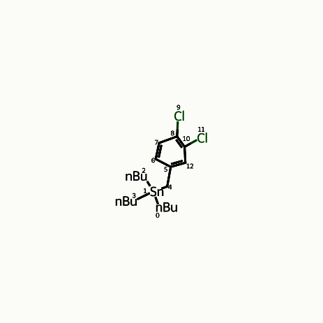 CCC[CH2][Sn]([CH2]CCC)([CH2]CCC)[CH2]c1ccc(Cl)c(Cl)c1